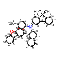 CC(C)(C)c1ccc(N(c2ccc3c(c2)-c2ccccc2C3(C)C)c2ccc3ccccc3c2-c2ccc3oc4ccccc4c3c2)cc1